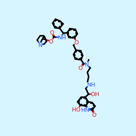 CN(CCCCNCC(O)c1ccc(O)c2[nH]c(=O)ccc12)C(=O)c1ccc(COc2cccc([C@@H](NC(=O)OC3CN4CCC3CC4)c3ccccc3)c2)cc1